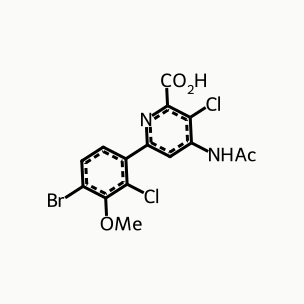 COc1c(Br)ccc(-c2cc(NC(C)=O)c(Cl)c(C(=O)O)n2)c1Cl